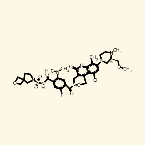 COC[C@H]1CN(c2cc(Cl)c3c4c(c(=O)oc3c2C)CN(C(=O)c2cc(N(C)C)c(C(=O)NS(=O)(=O)N3CCC5(COC5)C3)cc2F)CC4)CCN1C